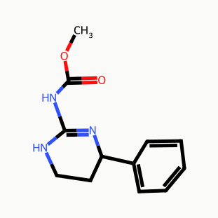 COC(=O)NC1=NC(c2ccccc2)CCN1